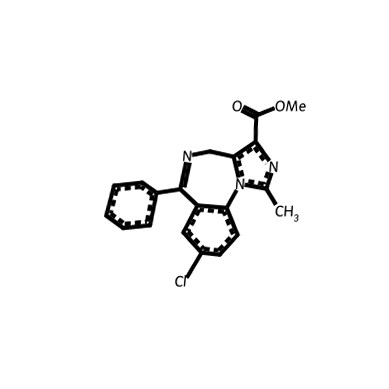 COC(=O)c1nc(C)n2c1CN=C(c1ccccc1)c1cc(Cl)ccc1-2